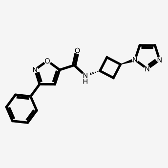 O=C(N[C@H]1C[C@H](n2ccnn2)C1)c1cc(-c2ccccc2)no1